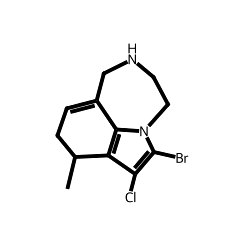 CC1CC=C2CNCCn3c(Br)c(Cl)c1c32